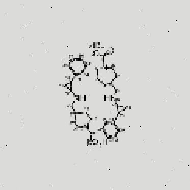 CC(C)(C)OC(=O)N1CCCC(CNC2CC2c2ccccc2)CC1.O=C(O)CN1CCC(CNC2CC2c2ccccc2)CC1